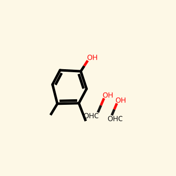 Cc1ccc(O)cc1C.O=CO.O=CO